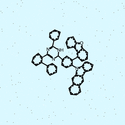 c1ccc(C2=NC(c3ccccc3-c3ccccc3)=NC(c3ccc(-n4c5ccccc5c5cc6ccccc6cc54)c(-c4cccc5oc6ccccc6c45)c3)N2)cc1